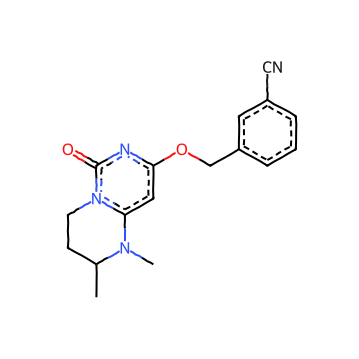 CC1CCn2c(cc(OCc3cccc(C#N)c3)nc2=O)N1C